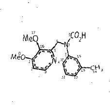 COc1ccnc(CN(C(=O)O)c2cccc(C)c2)c1OC